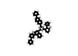 C1=CC(c2nc(-c3ccc4cc(-c5ccccc5)ccc4c3)nc(-c3cc4oc5ccc(-c6ccccc6)cc5c4c4ccccc34)n2)C2c3ccccc3OC2C1